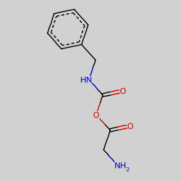 NCC(=O)OC(=O)NCc1ccccc1